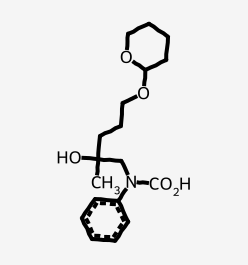 CC(O)(CCCOC1CCCCO1)CN(C(=O)O)c1ccccc1